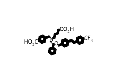 O=C(O)CCCCN(Cc1ccc(C(=O)O)cc1)C[C@H](OCc1ccc(CCc2ccc(C(F)(F)F)cc2)cc1)c1ccccc1